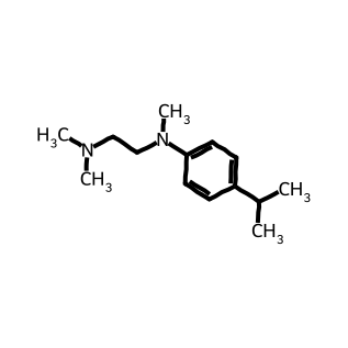 CC(C)c1ccc(N(C)CCN(C)C)cc1